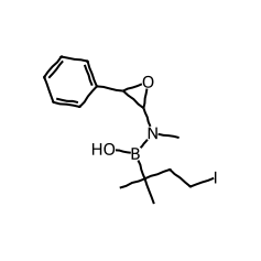 CN(B(O)C(C)(C)CCI)C1OC1c1ccccc1